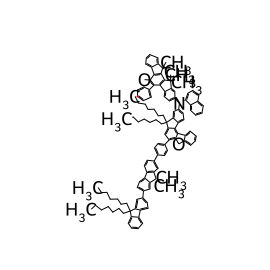 CCCCCCCC1(CCCCCCC)c2ccccc2-c2ccc(-c3ccc4c(c3)C(C)(C)c3cc(-c5ccc(-c6cc7c(c8c6oc6ccccc68)-c6ccc(N(c8ccc9c(c8)C(C)(C)c8c%10c(c%11oc%12ccccc%12c%11c8-9)-c8ccccc8C%10(C)C)c8cccc9ccccc89)cc6C7(CCCCCCC)CCCCCCC)cc5)ccc3-4)cc21